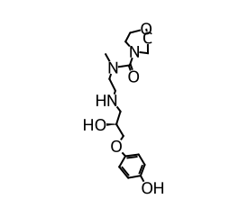 CN(CCNC[C@H](O)COc1ccc(O)cc1)C(=O)N1CCOCC1